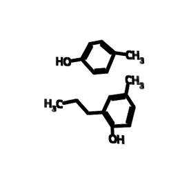 CCCc1cc(C)ccc1O.Cc1ccc(O)cc1